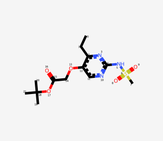 CCc1nc(NS(C)(=O)=O)ncc1OCC(=O)OC(C)(C)C